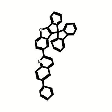 c1ccc(-c2ccc3nc(-c4ccc5oc6c(c5c4)C4(c5ccccc5-c5ccccc54)c4ccccc4-6)ccc3c2)cc1